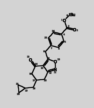 CC(C)(C)OC(=O)c1ccc(Cc2onc3c2C(=O)CC(CC2CC2)C3)cc1